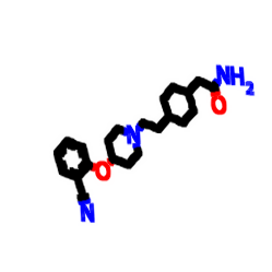 N#Cc1ccccc1OC1CCN(CCC2CCC(CC(N)=O)CC2)CC1